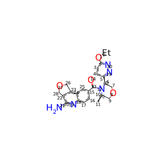 CCOc1ccc([C@H]2COC[C@@H](C)N2C(=O)c2ccc3nc(N)c4c(c3c2)COC4)nn1